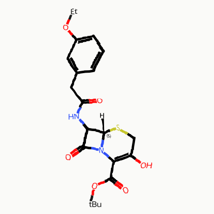 CCOc1cccc(CC(=O)NC2C(=O)N3C(C(=O)OC(C)(C)C)=C(O)CS[C@@H]23)c1